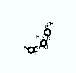 COc1ccc(Oc2ccc(OCc3cc(F)ccc3F)cc2)c(N)c1.Cl